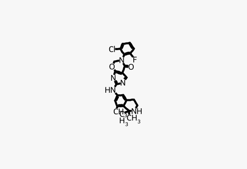 Cc1cc(Nc2ncc3c(n2)OCN(c2c(F)cccc2Cl)C3=O)cc2c1C(C)(C)NCC2